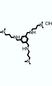 CN(C)CCCNCc1cc(CNCCCN(C)C)cc(CNCCCN(C)C)c1.Cl